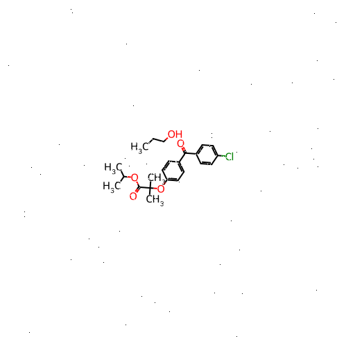 CC(C)OC(=O)C(C)(C)Oc1ccc(C(=O)c2ccc(Cl)cc2)cc1.CCCO